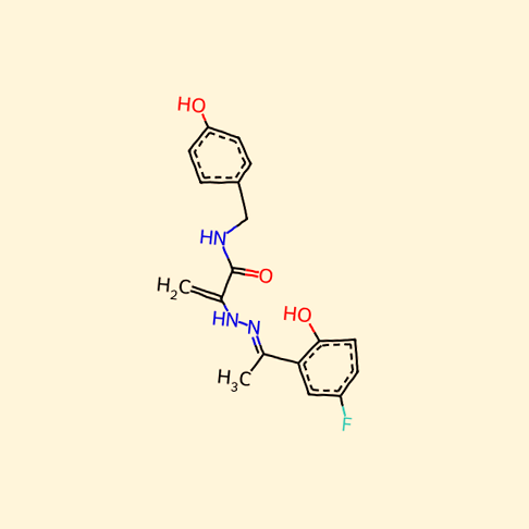 C=C(N/N=C(\C)c1cc(F)ccc1O)C(=O)NCc1ccc(O)cc1